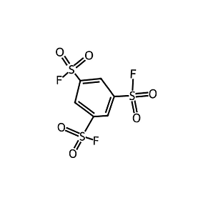 O=S(=O)(F)c1cc(S(=O)(=O)F)cc(S(=O)(=O)F)c1